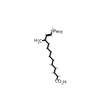 CCCCC/C=C/C(C)CCCCCCCCCC(=O)O